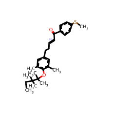 CCC(C)(C)C(C)(C)Oc1c(C)cc(CC/C=C/C(=O)c2ccc(SC)cc2)cc1C